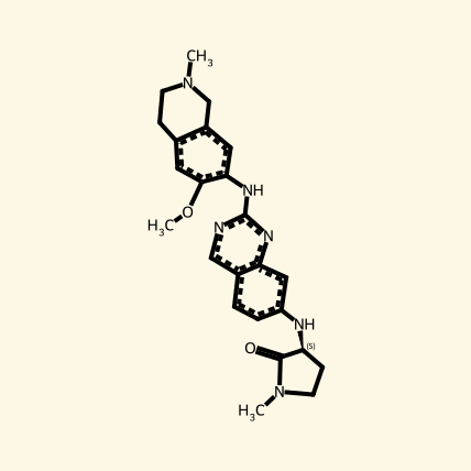 COc1cc2c(cc1Nc1ncc3ccc(N[C@H]4CCN(C)C4=O)cc3n1)CN(C)CC2